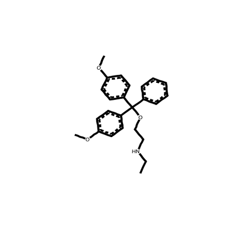 CCNCCOC(c1ccccc1)(c1ccc(OC)cc1)c1ccc(OC)cc1